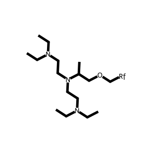 CCN(CC)CCN(CCN(CC)CC)C(C)CO[CH2][Rf]